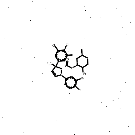 CC1CCC(C(C)C)C(OC(=O)[C@@H]2N(c3ccc(F)c(Br)c3)C=CC2(c2cc(Cl)c(Cl)c(Cl)c2)C(F)(F)F)C1